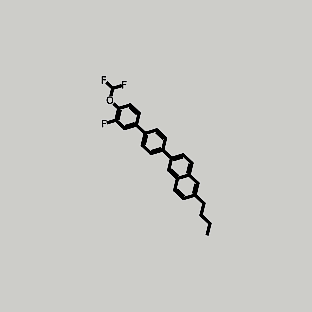 CCCCc1ccc2cc(-c3ccc(-c4ccc(OC(F)F)c(F)c4)cc3)ccc2c1